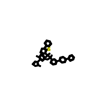 CC1=C(c2cc(CC(C)(c3cccc(-c4ccc(-c5ccccc5)cc4)c3)C(C)(C)c3cccc4c3sc3ccccc34)ccc2C)C=CC1